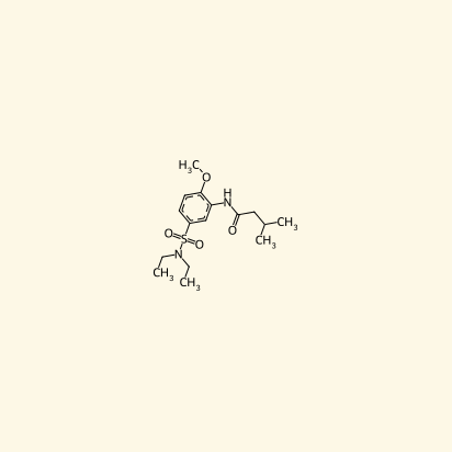 CCN(CC)S(=O)(=O)c1ccc(OC)c(NC(=O)CC(C)C)c1